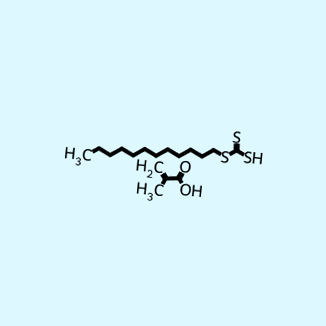 C=C(C)C(=O)O.CCCCCCCCCCCCSC(=S)S